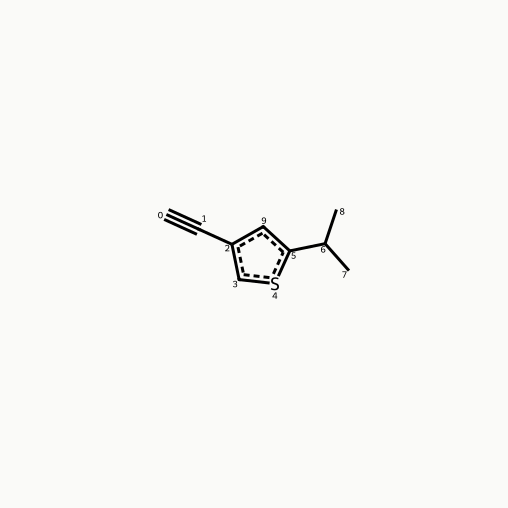 C#Cc1csc(C(C)C)c1